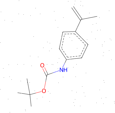 C=C(C)c1ccc(NC(=O)OC(C)(C)C)cc1